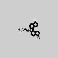 NCCn1c2ccc3c(c2c2c4c(ccc21)C(=O)CC4)CCC3=O